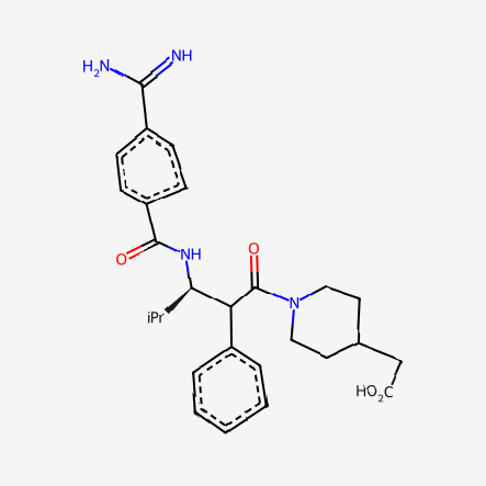 CC(C)[C@@H](NC(=O)c1ccc(C(=N)N)cc1)C(C(=O)N1CCC(CC(=O)O)CC1)c1ccccc1